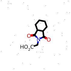 O=C(O)CN1C(=O)C2CCCCC2C1=O